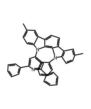 Cc1ccc2c(c1)c1ccc3c4cc(C)ccc4n(-c4cc(-c5ccccc5)nc(-c5ccccc5)c4)c3c1n2-c1ccccc1